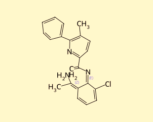 C=C(/N=C1/C(Cl)=CC=C/C1=C(\C)N)c1ccc(C)c(-c2ccccc2)n1